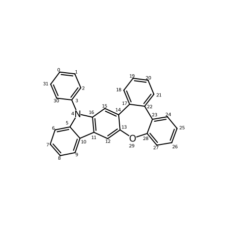 c1ccc(-n2c3ccccc3c3cc4c(cc32)-c2ccccc2-c2ccccc2O4)cc1